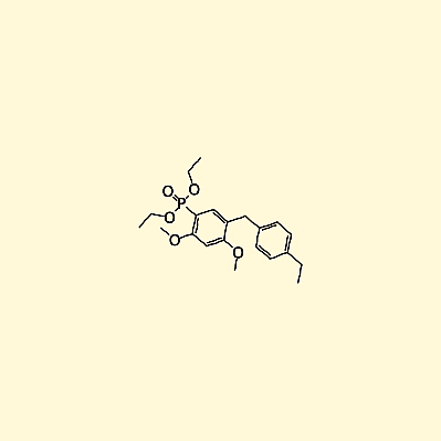 CCOP(=O)(OCC)c1cc(Cc2ccc(CC)cc2)c(OC)cc1OC